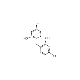 CCc1ccc(Cc2ccc(CC)cc2O)c(O)c1